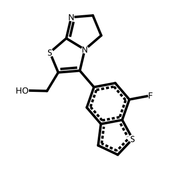 OCC1=C(c2cc(F)c3sccc3c2)N2CCN=C2S1